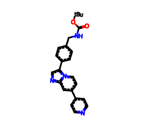 CC(C)(C)OC(=O)NCc1ccc(-c2cnc3cc(-c4ccncc4)ccn23)cc1